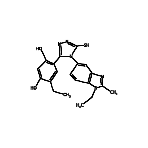 CCc1cc(-c2nnc(S)n2-c2ccc3c(c2)nc(C)n3CC)c(O)cc1O